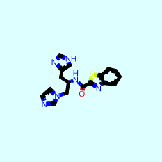 O=C(NC(Cc1c[nH]cn1)Cn1ccnc1)c1nc2ccccc2s1